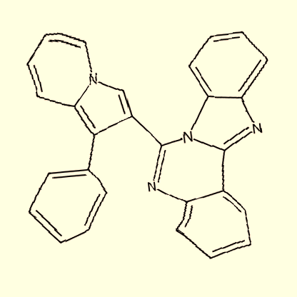 c1ccc(-c2c(-c3nc4ccccc4c4nc5ccccc5n34)cn3ccccc23)cc1